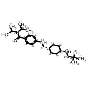 CC(C)N(C(=O)c1ccc(NC[C@H]2CC[C@H](NSC(C)(C)C)CC2)cc1)C(C)C